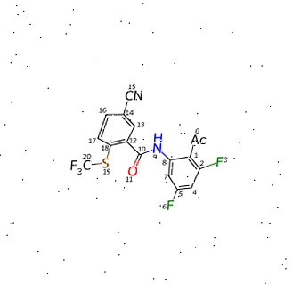 CC(=O)c1c(F)cc(F)cc1NC(=O)c1cc(C#N)ccc1SC(F)(F)F